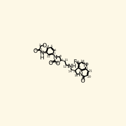 O=C1COc2ccc(N3C[C@@H](CCNC[C@@H]4Cn5c(=O)ccc6ncc(F)c4c65)OC3=O)cc2N1